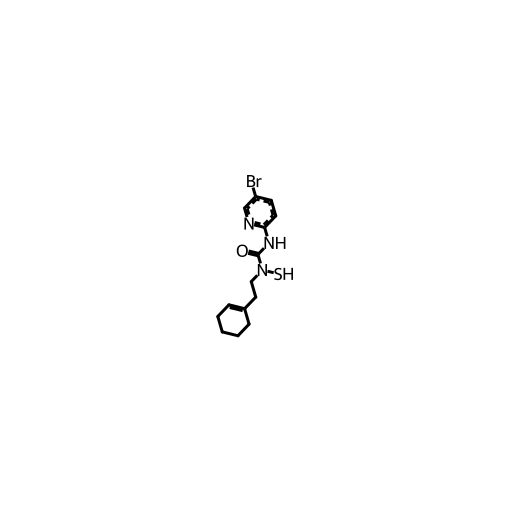 O=C(Nc1ccc(Br)cn1)N(S)CCC1=CCCCC1